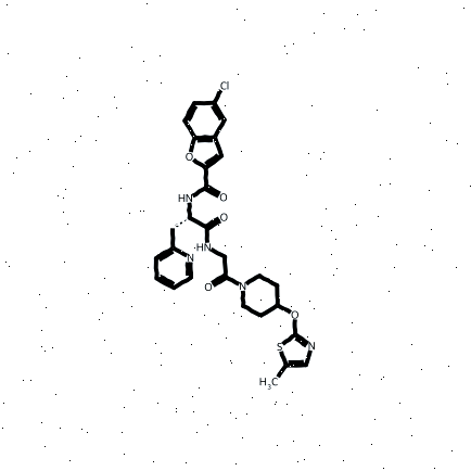 Cc1cnc(OC2CCN(C(=O)CNC(=O)[C@H](Cc3ccccn3)NC(=O)c3cc4cc(Cl)ccc4o3)CC2)s1